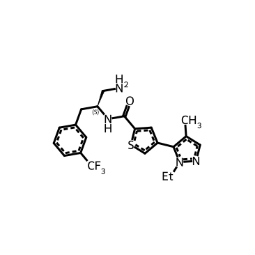 CCn1ncc(C)c1-c1csc(C(=O)N[C@H](CN)Cc2cccc(C(F)(F)F)c2)c1